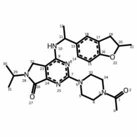 CC(=O)N1CCN(c2nc(NC(C)c3ccc4c(c3)CC(C)O4)c3c(n2)C(=O)N(C(C)C)C3)CC1